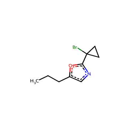 CCCc1cnc(C2(Br)CC2)o1